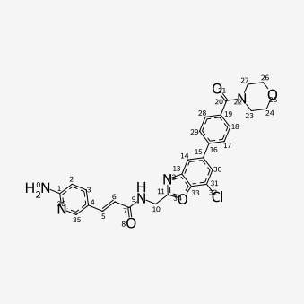 Nc1ccc(C=CC(=O)NCc2nc3cc(-c4ccc(C(=O)N5CCOCC5)cc4)cc(Cl)c3o2)cn1